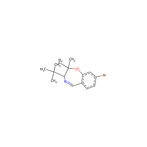 CC(C)(C)C1N=Cc2ccc(Br)cc2OC1(C)C